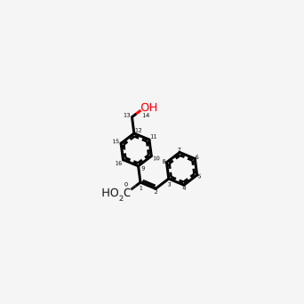 O=C(O)/C(=C/c1ccccc1)c1ccc(CO)cc1